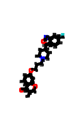 Cc1coc2cc(OCCCN3CCC(c4onc5cc(F)ccc45)CC3)ccc2c1=O